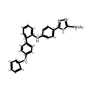 CC(=O)Nc1nnc(-c2ccc(Nc3ccccc3-c3ccc(Oc4ccccc4)cc3)cc2)s1